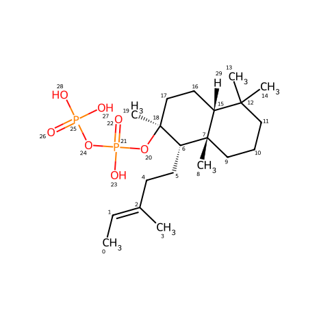 C/C=C(\C)CC[C@H]1[C@@]2(C)CCCC(C)(C)[C@H]2CC[C@]1(C)OP(=O)(O)OP(=O)(O)O